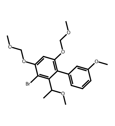 COCOc1cc(OCOC)c(-c2cccc(OC)c2)c(C(C)OC)c1Br